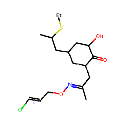 CCSC(C)CC1CC(O)C(=O)C(CC(C)=NOC/C=C/Cl)C1